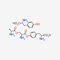 C[C@H](N)C(=O)OC[C@H](N)C(=O)Oc1ccc(C[C@H](N)C(=O)O)cc1.N[C@@H](Cc1ccc(O)cc1)C(=O)O